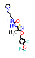 Cc1c(OCc2ccc(OC(F)F)c(F)c2)nsc1NC(=O)NCCCCN1CCCC1